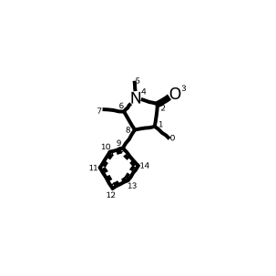 CC1C(=O)N(C)C(C)C1c1ccccc1